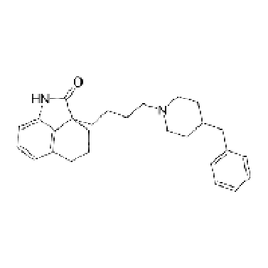 O=C1Nc2cccc3c2C1(CCCCN1CCC(Cc2ccccc2)CC1)CCC3